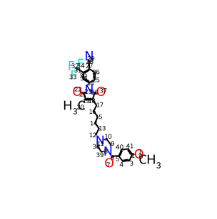 COc1ccc(C(=O)N2CCN(CCCCCCC3=C(C)C(=O)N(c4ccc(C#N)c(C(F)(F)F)c4)C3=O)CC2)cc1